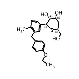 CCOc1ccc(Cc2cc([C@@H]3S[C@H](CO)C[C@H](O)[C@H]3O)ccc2C)cc1